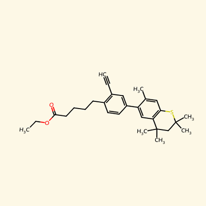 C#Cc1cc(-c2cc3c(cc2C)SC(C)(C)CC3(C)C)ccc1CCCCC(=O)OCC